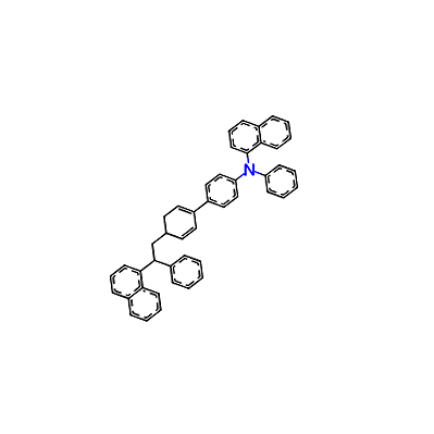 C1=CC(CC(c2ccccc2)c2cccc3ccccc23)CC=C1c1ccc(N(c2ccccc2)c2cccc3ccccc23)cc1